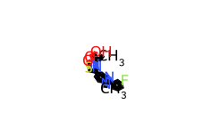 CCC(C(=O)O)N1N=C(c2ccc3c(c2)nc(-c2cccc(F)c2)n3C)CSC1=O